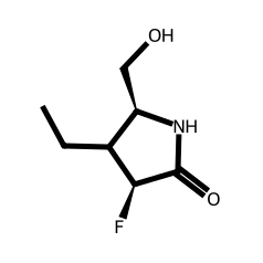 CCC1[C@H](F)C(=O)N[C@@H]1CO